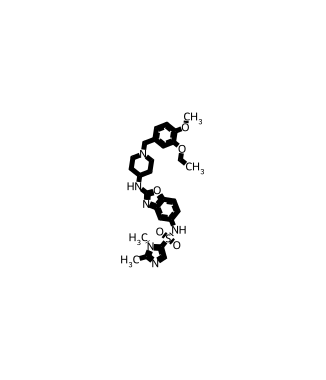 CCOc1cc(CN2CCC(Nc3nc4cc(NS(=O)(=O)c5cnc(C)n5C)ccc4o3)CC2)ccc1OC